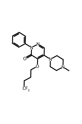 CN1CCN(c2cnn(-c3ccccc3)c(=O)c2OCCCC(F)(F)F)CC1